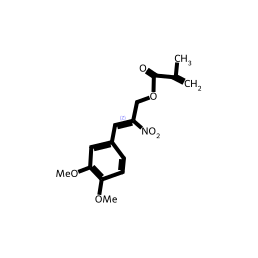 C=C(C)C(=O)OC/C(=C/c1ccc(OC)c(OC)c1)[N+](=O)[O-]